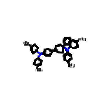 CCCCc1ccc(N(c2ccc(C3=CCC(c4ccccc4)(N(c4ccc(CCCC)cc4)c4ccc(C(C)(C)C)cc4)C=C3)cc2)c2ccc(C(C)(C)C)cc2)cc1